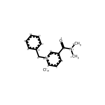 CN(C)C(=O)c1ccc[n+](Cc2ccccc2)c1.[Cl-]